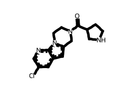 O=C(C1CCNC1)N1CCn2c(cc3cc(Cl)cnc32)C1